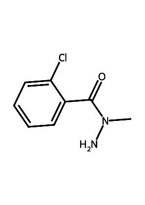 CN(N)C(=O)c1ccccc1Cl